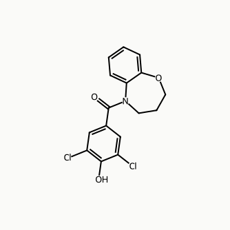 O=C(c1cc(Cl)c(O)c(Cl)c1)N1CCCOc2ccccc21